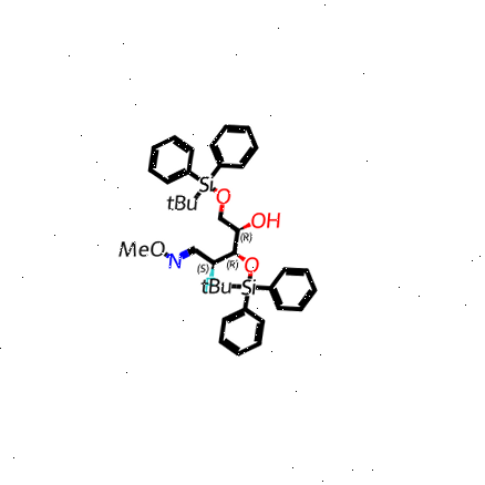 CON=C[C@H](F)[C@H](O[Si](c1ccccc1)(c1ccccc1)C(C)(C)C)[C@H](O)CO[Si](c1ccccc1)(c1ccccc1)C(C)(C)C